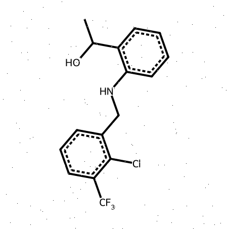 CC(O)c1ccccc1NCc1cccc(C(F)(F)F)c1Cl